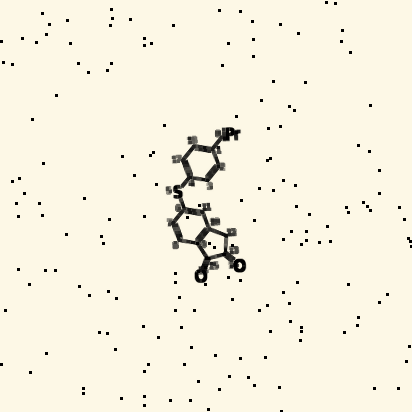 CC(C)c1ccc(Sc2ccc3c(c2)CC(=O)C3=O)cc1